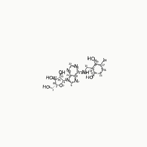 OC[C@H]1OC(n2cnc3c(NCc4c(O)ccc(I)c4O)ncnc32)[C@H](O)[C@@H]1O